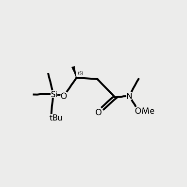 CON(C)C(=O)C[C@H](C)O[Si](C)(C)C(C)(C)C